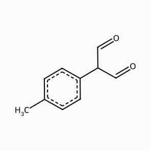 Cc1ccc(C(C=O)C=O)cc1